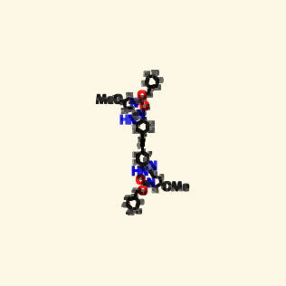 COC1CC(c2nc3cc(C#Cc4ccc5nc([C@@H]6C[C@@H](OC)CN6C(=O)OCc6ccccc6)[nH]c5c4)ccc3[nH]2)N(C(=O)OCc2ccccc2)C1